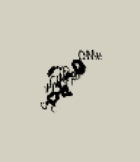 CCCC(NCCOc1ccc(OC)cc1)C1(c2ccc(Cl)c(Cl)c2)CCC1.O=C(O)/C=C\C(=O)O